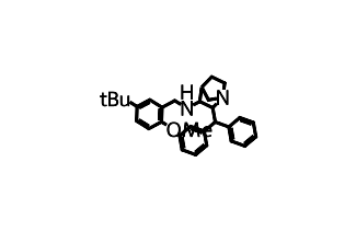 COc1ccc(C(C)(C)C)cc1CNC1C2CCN(C2)C1C(c1ccccc1)c1ccccc1